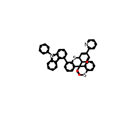 C1=CC2C(C=C1c1ccccn1)Sc1c(-c3cccc4c3c3ccccc3n4-c3ccccc3)cccc1C21C2=CCCCC2Sc2ccccc21